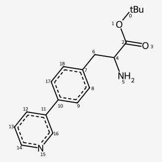 CC(C)(C)OC(=O)C(N)Cc1ccc(-c2cccnc2)cc1